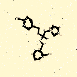 CC(CCc1ccc(Cl)cc1)(Cn1ccnc1)SCc1ccccc1F